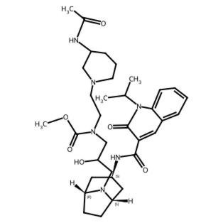 COC(=O)N(CCN1CCCC(NC(C)=O)C1)CC(O)CN1[C@@H]2CC[C@H]1C[C@H](NC(=O)c1cc3ccccc3n(C(C)C)c1=O)C2